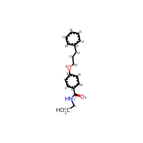 O=C(O)CNC(=O)c1ccc(OCCCc2ccccc2)cc1